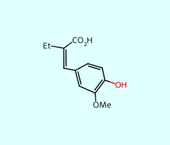 CCC(=Cc1ccc(O)c(OC)c1)C(=O)O